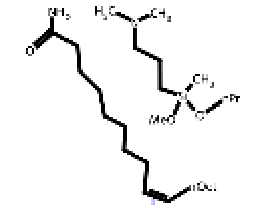 CCCCCCCC/C=C\CCCCCCCC(N)=O.CCCO[Si](C)(CCCN(C)C)OC